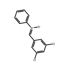 [O-][N+](=Cc1cc(Cl)cc(Cl)c1)c1ccccc1